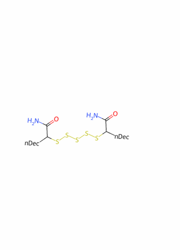 CCCCCCCCCCC(SSSSSC(CCCCCCCCCC)C(N)=O)C(N)=O